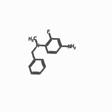 CN(Cc1ccccc1)c1ccc(N)cc1F